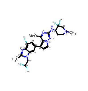 COc1nc(N[C@@H]2CCN(C)CC2(F)F)nn2ccc(-c3cc(F)c4nc(C)n(CC(F)F)c4c3)c12